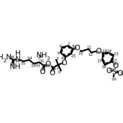 CC(C)(Oc1cccc(OCCCOc2ccc(OS(C)(=O)=O)cc2)c1)C(=O)OC(=O)[C@@H](N)CCCNC(=N)N